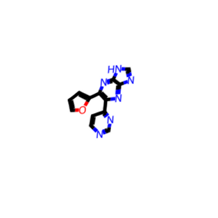 c1coc(-c2nc3[nH]cnc3nc2-c2ccncn2)c1